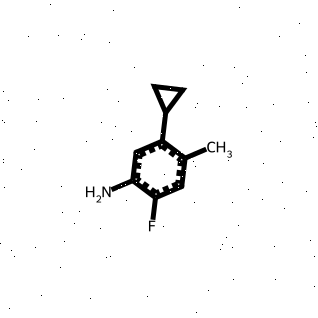 Cc1cc(F)c(N)cc1C1CC1